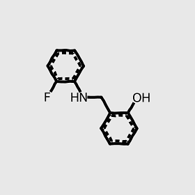 Oc1ccccc1CNc1ccccc1F